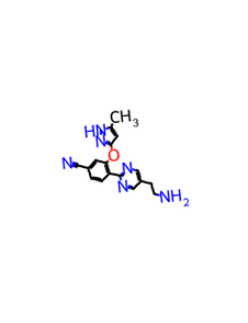 Cc1cc(Oc2cc(C#N)ccc2-c2ncc(CCN)cn2)n[nH]1